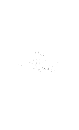 O=C(NC[C@H]1C=C[C@@H](NC(=O)OCc2ccccc2)[C@@H](O[C@H]2[C@@H](O)[C@H](O[C@@H]3[C@@H](O)[C@H](NCCO)C[C@H](NC(=O)OCc4ccccc4)[C@H]3O[C@H]3O[C@H](CNC(=O)OCc4ccccc4)C=C[C@H]3NC(=O)OCc3ccccc3)O[C@@H]2CO)O1)OCc1ccccc1